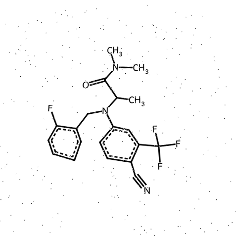 CC(C(=O)N(C)C)N(Cc1ccccc1F)c1ccc(C#N)c(C(F)(F)F)c1